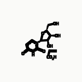 C=CC(=O)O.O=c1ccn([C@@H]2O[C@H](CO)[C@@H](O)[C@H]2O)c(=O)[nH]1